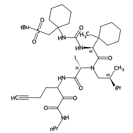 C#CCCC(NC(=O)[C@H](I)N(C[C@@H](C)C(C)C)C(=O)[C@@H](NC(=O)NC1(CS(=O)(=O)C(C)(C)C)CCCCC1)C1(C)CCCCC1)C(=O)C(=O)NCCC